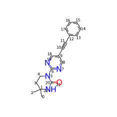 CC1(C)CCN(c2ncc(C#Cc3ccccc3)cn2)C(=O)N1